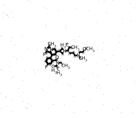 CCN(C(=O)c1cc(F)ccc1-c1cc(C2CN([C@H](CCCN(C)CCOC)C(C)C)C2)cn2c(C)nc(F)c12)C(C)C